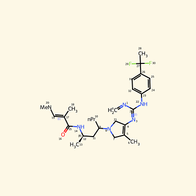 C=N/C(=N\C1=C(C)CN(C(CCC)C[C@@H](C)NC(=O)/C(C)=C/NC)C1)Nc1ccc(C(C)(F)F)cc1